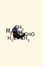 C=Cc1cc(N(C)CCCC=O)ccc1C(=C)N1CCN(C(=C)/C(C)=C\C(C)=C/C)C1